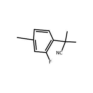 Cc1ccc(C(C)(C)C#N)c(F)c1